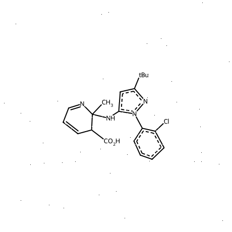 CC(C)(C)c1cc(NC2(C)N=CC=CC2C(=O)O)n(-c2ccccc2Cl)n1